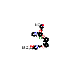 CCOC(=O)CC1(O)CCN(CCCOc2cccc(-c3cccc(COc4cc(OCc5cncc(C#N)c5)c(CN5CCCC[C@H]5C(=O)O)cc4Cl)c3C)c2C)C1